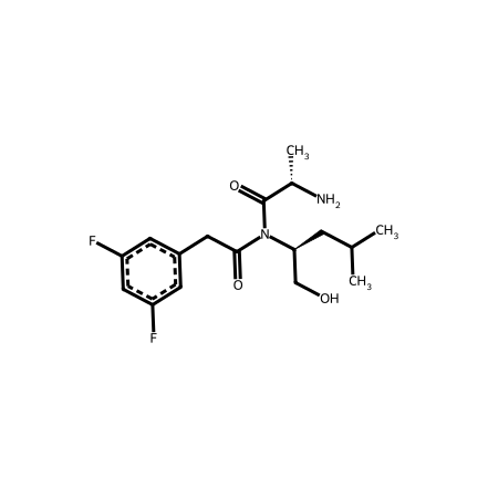 CC(C)C[C@@H](CO)N(C(=O)Cc1cc(F)cc(F)c1)C(=O)[C@H](C)N